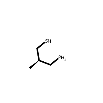 C[C@H](CP)CS